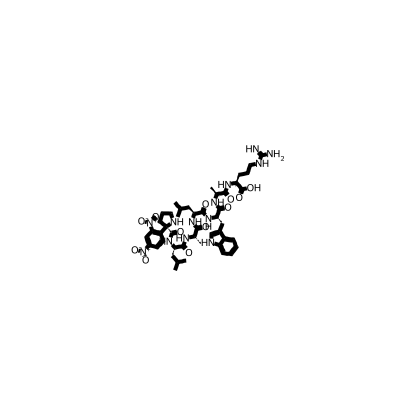 CC(C)C[C@H](NC(=O)[C@H](C)NC(=O)[C@H](CC(C)C)NC(=O)[C@]1(c2ccc([N+](=O)[O-])cc2[N+](=O)[O-])CCCN1)C(=O)N[C@@H](Cc1c[nH]c2ccccc12)C(=O)N[C@@H](C)C(=O)N[C@@H](CCCNC(=N)N)C(=O)O